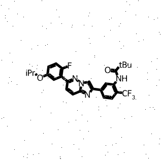 CC(C)Oc1ccc(F)c(-c2ccc3nc(-c4ccc(C(F)(F)F)c(NC(=O)C(C)(C)C)c4)cn3n2)c1